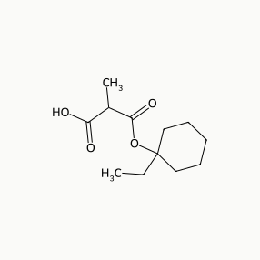 CCC1(OC(=O)C(C)C(=O)O)CCCCC1